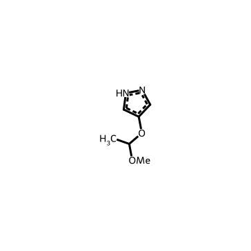 COC(C)Oc1cn[nH]c1